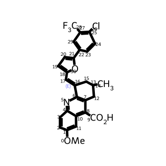 COc1ccc2nc3c(c(C(=O)O)c2c1)CC(C)C/C3=C\c1ccc(-c2ccc(Cl)c(C(F)(F)F)c2)o1